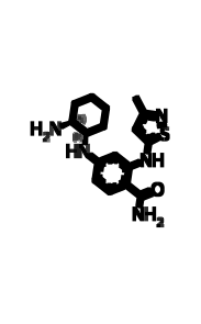 Cc1cc(Nc2cc(N[C@@H]3CCCC[C@@H]3N)ccc2C(N)=O)sn1